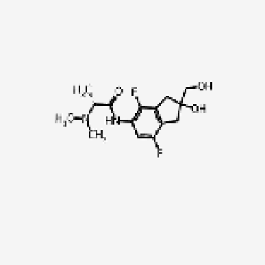 C[C@H](C(=O)Nc1cc(F)c2c(c1F)CC(O)(CO)C2)N(C)C